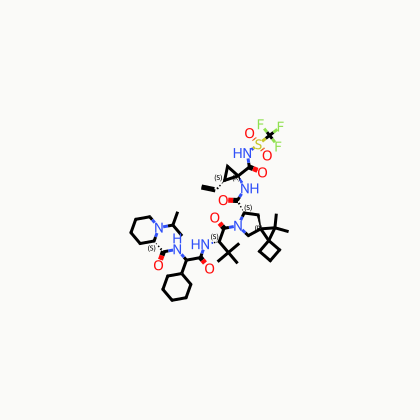 C=C[C@@H]1C[C@]1(NC(=O)[C@@H]1C[C@@]2(CN1C(=O)[C@@H](NC(=O)C(NC(=O)[C@@H]1CCCCN1C(C)C)C1CCCCC1)C(C)(C)C)C(C)(C)C21CCC1)C(=O)NS(=O)(=O)C(F)(F)F